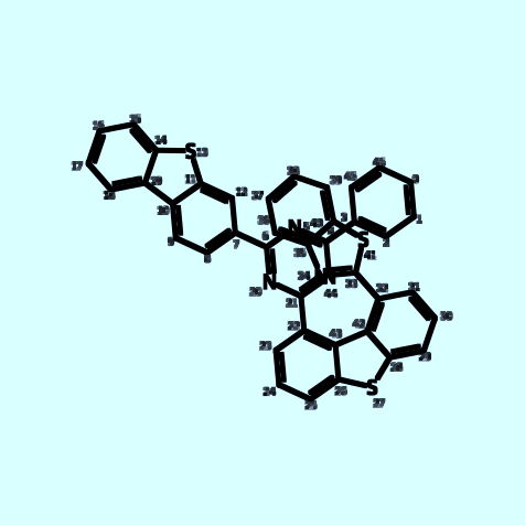 c1ccc(-c2nc(-c3ccc4c(c3)sc3ccccc34)nc(-c3cccc4sc5cccc(-c6nc7ccccc7s6)c5c34)n2)cc1